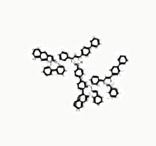 c1ccc(-c2ccc(-c3cc(-c4cccc(N5c6cc(-c7ccc(-c8nc(-c9ccc(-c%10ccccc%10)cc9)cc(-c9cccc(N%10c%11ccccc%11-c%11ccccc%11-n%11c%10cc%10cc%12ccccc%12cc%10%11)c9)n8)cc7)ccc6-c6cc7ccccc7cc6-n6c5cc5ccccc56)c4)nc(-c4ccccc4)n3)cc2)cc1